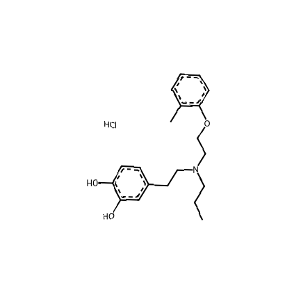 CCCN(CCOc1ccccc1C)CCc1ccc(O)c(O)c1.Cl